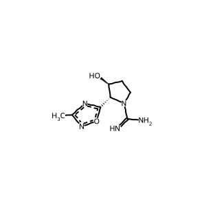 Cc1noc([C@@H]2[C@@H](O)CCN2C(=N)N)n1